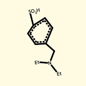 CCN(CC)Cc1ccc(S(=O)(=O)O)cc1